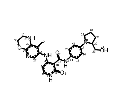 Cc1c(Nc2cc[nH]c(=O)c2C(=O)Nc2ccc(N3CCCC3CO)cc2)cnc2c1NCCO2